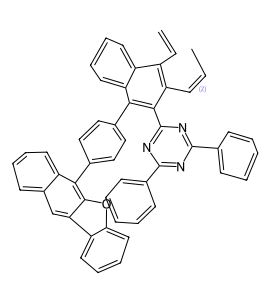 C=Cc1c(/C=C\C)c(-c2nc(-c3ccccc3)nc(-c3ccccc3)n2)c(-c2ccc(-c3c4ccccc4cc4c3oc3ccccc34)cc2)c2ccccc12